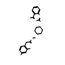 CN(C)c1nc(N[C@H]2CC[C@@H](CNC(=O)Cc3ccc(F)cc3Cl)CC2)nc2ccccc12